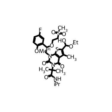 CCOC(O)c1sc2c(c1C)c(=O)n(C(C)(C)C(=O)NC(C)C)c(=O)n2C[C@H](OCCS(C)(=O)=O)c1cc(F)ccc1OC